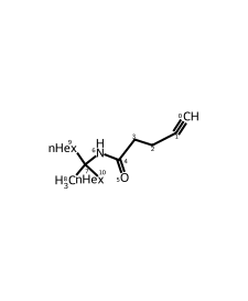 C#CCCC(=O)NC(C)(CCCCCC)CCCCCC